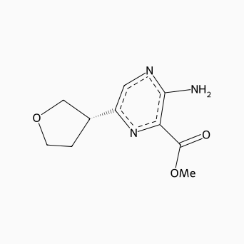 COC(=O)c1nc([C@@H]2CCOC2)cnc1N